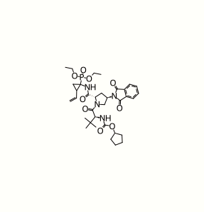 C=CC1CC1(NC(=O)[C@@H]1C[C@@H](N2C(=O)c3ccccc3C2=O)CN1C(=O)[C@@H](NC(=O)OC1CCCC1)C(C)(C)C)P(=O)(OCC)OCC